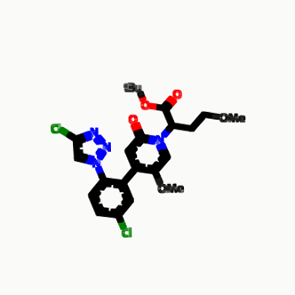 COCCC(C(=O)OC(C)(C)C)n1cc(OC)c(-c2cc(Cl)ccc2-n2cc(Cl)nn2)cc1=O